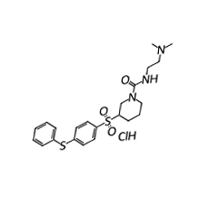 CN(C)CCNC(=O)N1CCCC(S(=O)(=O)c2ccc(Sc3ccccc3)cc2)C1.Cl